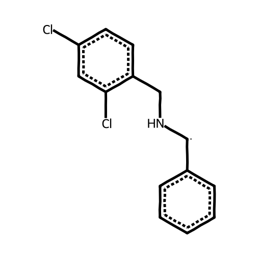 Clc1ccc(CN[CH]c2ccccc2)c(Cl)c1